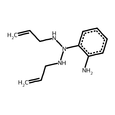 C=CCNN(NCC=C)c1ccccc1N